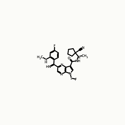 CNc1cc(F)ccc1C(=N)c1cnc2c(n1)c(C(=O)N[C@H](C)C1(C#N)CCCC1)cn2SF